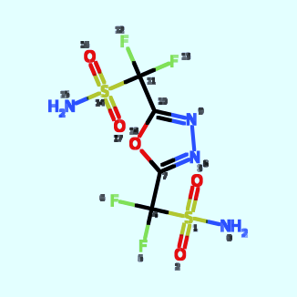 NS(=O)(=O)C(F)(F)c1nnc(C(F)(F)S(N)(=O)=O)o1